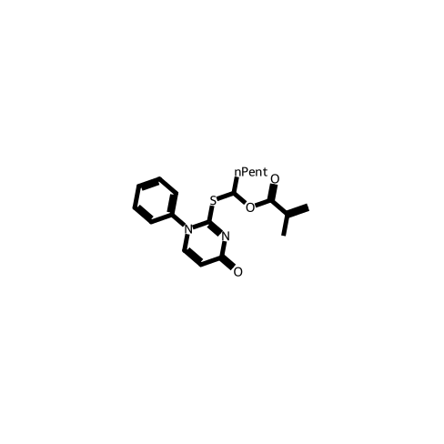 C=C(C)C(=O)OC(CCCCC)Sc1nc(=O)ccn1-c1ccccc1